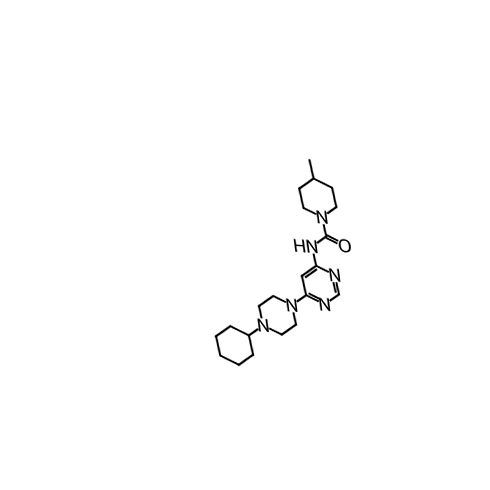 CC1CCN(C(=O)Nc2cc(N3CCN(C4CCCCC4)CC3)ncn2)CC1